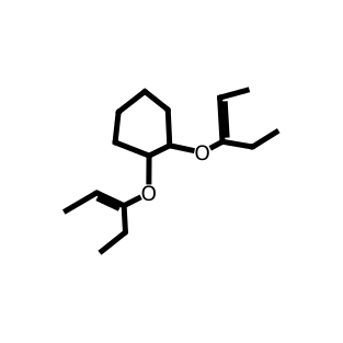 CC=C(CC)OC1CCCCC1OC(=CC)CC